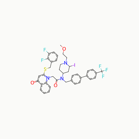 COCCN1CCC(N(Cc2ccc(-c3ccc(C(F)(F)F)cc3)cc2)C(=O)Cn2c(SCc3cccc(F)c3F)cc(=O)c3ccccc32)CC1I